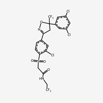 O=C(CS(=O)(=O)c1ccc(C2=NOC(c3cc(Cl)cc(Cl)c3)(C(F)(F)F)C2)cc1Cl)NCC(F)(F)F